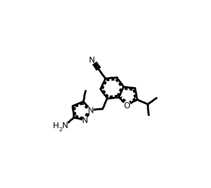 Cc1cc(N)nn1Cc1cc(C#N)cc2cc(C(C)C)oc12